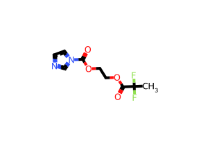 CC(F)(F)C(=O)OCCOC(=O)n1ccnc1